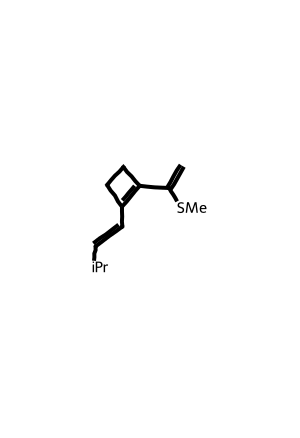 C=C(SC)C1=C(C=CC(C)C)CC1